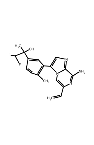 C=Cc1cn2c(-c3cc(C(C)(O)C(F)F)ccc3C)cnc2c(N)n1